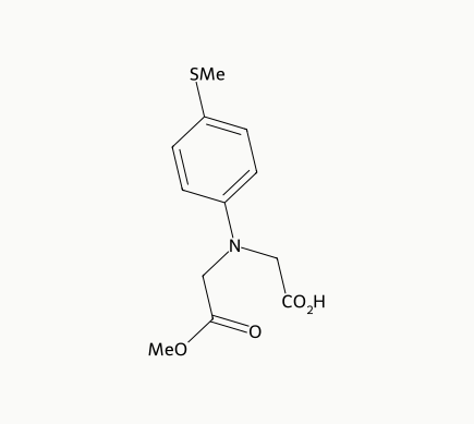 COC(=O)CN(CC(=O)O)c1ccc(SC)cc1